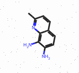 Cc1ccc2ccc(N)c(N)c2n1